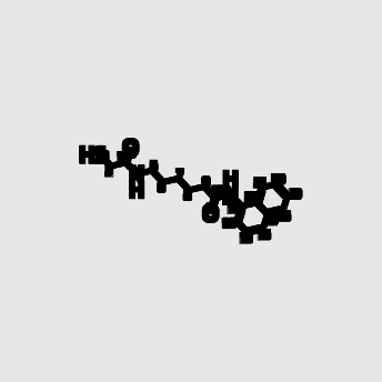 O=C(CS)NCCCCCC(=O)Nc1cccc2ccccc12